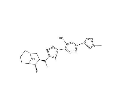 CN(c1nnc(-c2ccc(-c3cnn(C)c3)cc2O)s1)[C@@H]1CC2CCCC(N2)[C@@H]1F